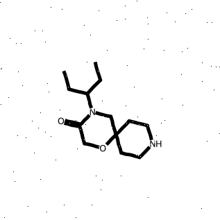 CCC(CC)N1CC2(CCNCC2)OCC1=O